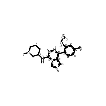 CN1CCCC(Nc2nnc(-c3ccc(Br)cc3OC(F)(F)F)c3cncn23)C1